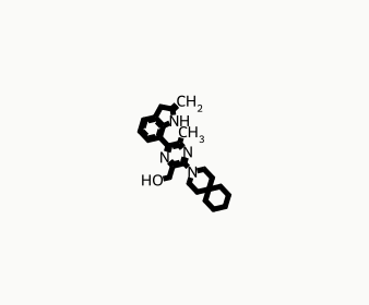 C=C1Cc2cccc(-c3nc(CO)c(N4CCC5(CCCCC5)CC4)nc3C)c2N1